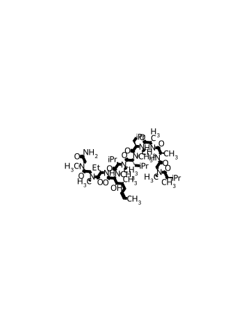 C/C=C\C[C@@H](C)[C@H](O)C(C(=O)N[C@@H](CC)C(=O)N(C)CC(=O)N(C)CC(N)=O)N(C)C(=O)[C@@H](C(C)C)N(C)C(=O)[C@@H](CC(C)C)N(C)C(=O)[C@@H](CC(C)C)N(C)C(=O)[C@H](C)NC(=O)[C@@H](C)NC(=O)CN(C)C(=O)[C@H](C)C(C)C